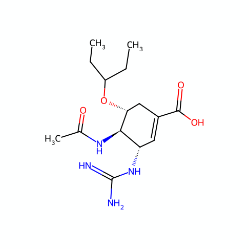 CCC(CC)O[C@@H]1CC(C(=O)O)=C[C@H](NC(=N)N)[C@H]1NC(C)=O